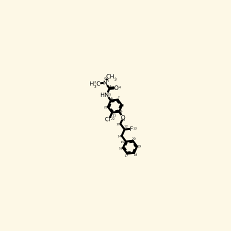 CN(C)C(=O)Nc1ccc(OCC(F)Cc2ccccc2)c(Cl)c1